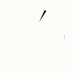 C[C@@H]1CCCCCC1I